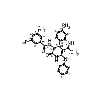 CC(=N)C1=C(Nc2ccccc2)NC(=O)[C@@H](NC(=O)c2cc(C)cc(F)c2)[C@H]1c1ccc(P)cc1